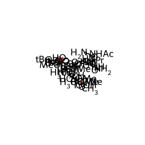 CCN(C(=O)OCc1ccc(NC(=O)[C@H](CCCNC(N)=O)NC(=O)[C@@H](NC(=O)[C@H](CCCCN)NC(C)=O)C(C)C)cc1)[C@H]1CO[C@@H](O[C@H]2[C@H](O[C@H]3C#CC=CC#C[C@]4(O)CC(=O)C(NC(=O)OC)=C3/C4=C\CSSC3CCN(C(=O)OC(C)(C)C)CC3)O[C@H](C)[C@@H](NO[C@H]3C[C@H](O)[C@H](SC(=O)c4c(C)c(I)c(O[C@@H]5O[C@@H](C)[C@H](O)[C@@H](OC)[C@H]5O)c(OC)c4OC)[C@@H](C)O3)[C@@H]2O)C[C@@H]1OC